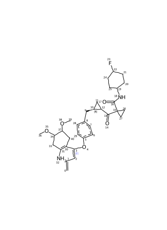 C=C/C=C(/Oc1ccc(C[C@H]2CC2C(=O)C2(C(=O)NC3CCC(F)CC3)CC2)cc1)C1=C(N)CC(OC)C(OC)C1